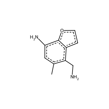 Cc1cc(N)c2occc2c1CN